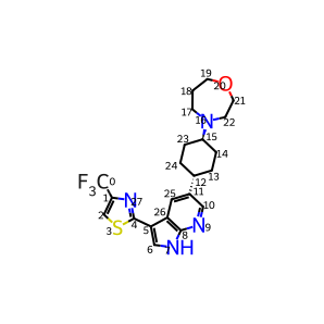 FC(F)(F)c1csc(-c2c[nH]c3ncc([C@H]4CC[C@H](N5CCCOCC5)CC4)cc23)n1